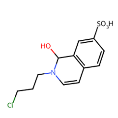 O=S(=O)(O)c1ccc2c(c1)C(O)N(CCCCl)C=C2